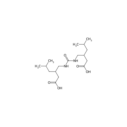 CC(C)CC(CNC(=O)NCC(CC(=O)O)CC(C)C)CC(=O)O